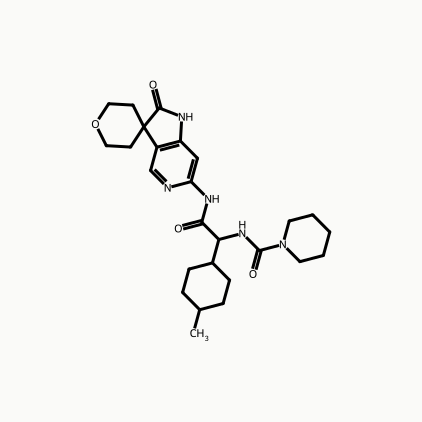 CC1CCC(C(NC(=O)N2CCCCC2)C(=O)Nc2cc3c(cn2)C2(CCOCC2)C(=O)N3)CC1